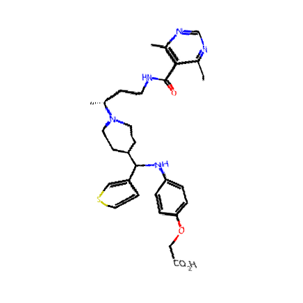 Cc1ncnc(C)c1C(=O)NCC[C@@H](C)N1CCC(C(Nc2ccc(OCC(=O)O)cc2)c2ccsc2)CC1